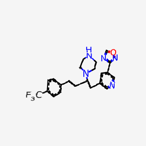 FC(F)(F)c1ccc(CCC(Cc2cncc(-c3ncon3)c2)N2CCNCC2)cc1